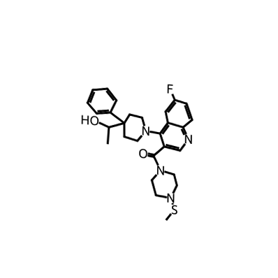 CSN1CCN(C(=O)c2cnc3ccc(F)cc3c2N2CCC(c3ccccc3)(C(C)O)CC2)CC1